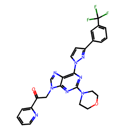 O=C(Cn1cnc2c(-n3ccc(-c4cccc(C(F)(F)F)c4)n3)nc(N3CCOCC3)nc21)c1ccccn1